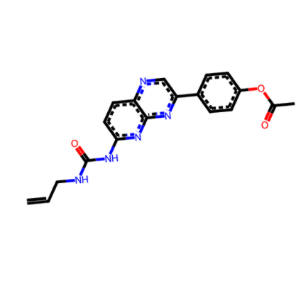 C=CCNC(=O)Nc1ccc2ncc(-c3ccc(OC(C)=O)cc3)nc2n1